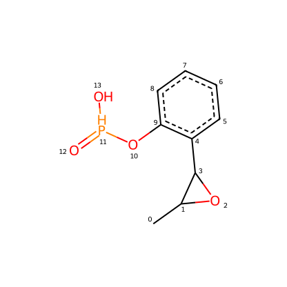 CC1OC1c1ccccc1O[PH](=O)O